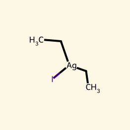 C[CH2][Ag]([I])[CH2]C